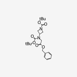 CC(C)(C)OC(=O)N1CC(N(CC(=O)OCc2ccccc2)C(=O)OC(C)(C)C)C1